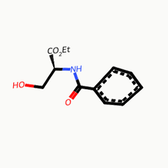 CCOC(=O)[C@H](CO)NC(=O)c1ccccc1